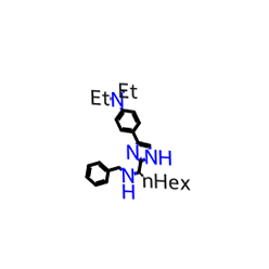 CCCCCC[C@@H](NCc1ccccc1)c1nc(-c2ccc(N(CC)CC)cc2)c[nH]1